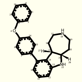 c1ccc(Oc2ccc(-c3cccc4c3[C@@H]3CCNCC[C@@H]3N4)cc2)cc1